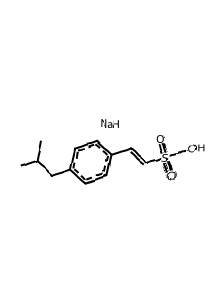 CC(C)Cc1ccc(C=CS(=O)(=O)O)cc1.[NaH]